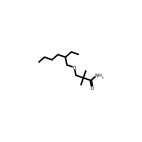 CCCCC(CC)COCC(C)(C)C(N)=O